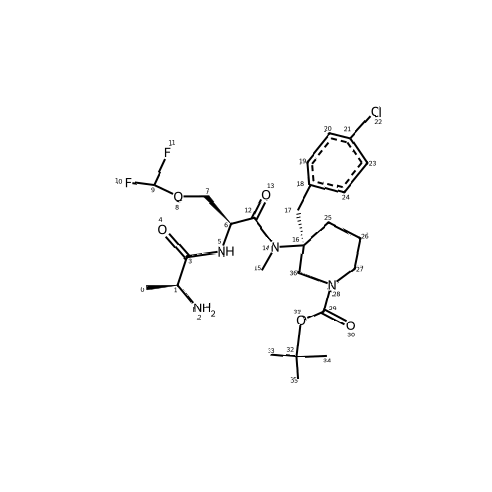 C[C@H](N)C(=O)N[C@@H](COC(F)F)C(=O)N(C)[C@@]1(Cc2ccc(Cl)cc2)CCCN(C(=O)OC(C)(C)C)C1